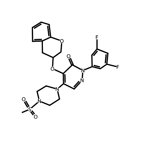 CS(=O)(=O)N1CCN(c2cnn(-c3cc(F)cc(F)c3)c(=O)c2OC2COc3ccccc3C2)CC1